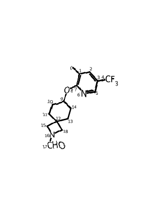 Cc1cc(C(F)(F)F)cnc1OC1CCC2(CC1)CN(C=O)C2